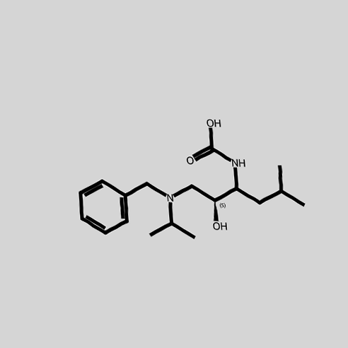 CC(C)CC(NC(=O)O)[C@@H](O)CN(Cc1ccccc1)C(C)C